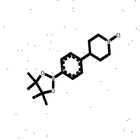 CC1(C)OB(c2ccc(C3CCN(Cl)CC3)cc2)OC1(C)C